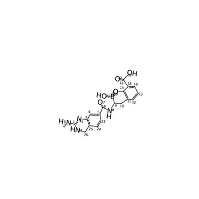 NC1=Nc2cc(C(=O)NC3Cc4cccc(C(=O)O)c4OB3O)ccc2CN1